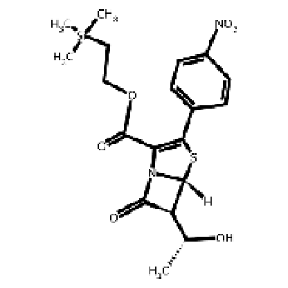 C[C@@H](O)[C@H]1C(=O)N2C(C(=O)OCC[Si](C)(C)C)=C(c3ccc([N+](=O)[O-])cc3)S[C@H]12